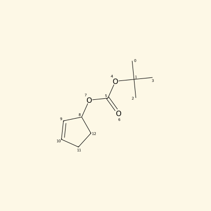 CC(C)(C)OC(=O)OC1C=CCC1